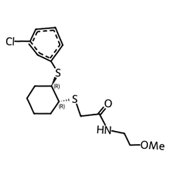 COCCNC(=O)CS[C@@H]1CCCC[C@H]1Sc1cccc(Cl)c1